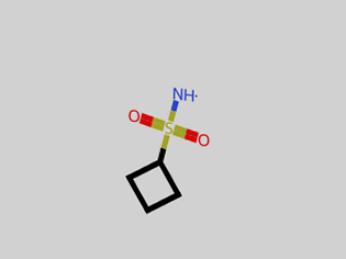 [NH]S(=O)(=O)C1CCC1